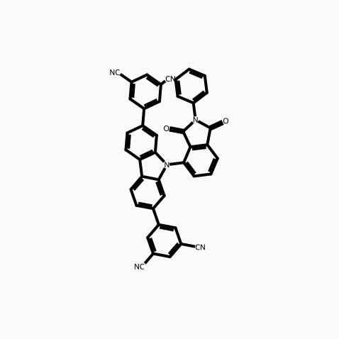 N#Cc1cc(C#N)cc(-c2ccc3c4ccc(-c5cc(C#N)cc(C#N)c5)cc4n(-c4cccc5c4C(=O)N(c4ccccc4)C5=O)c3c2)c1